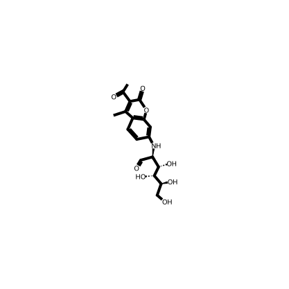 CC(=O)c1c(C)c2ccc(N[C@H](C=O)[C@H](O)[C@@H](O)[C@@H](O)CO)cc2oc1=O